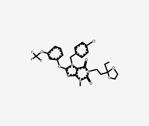 CCC1(CCn2c(=O)c3c(nc(Oc4cccc(OC(F)(F)F)c4)n3Cc3ccc(Cl)cc3)n(C)c2=O)OCCO1